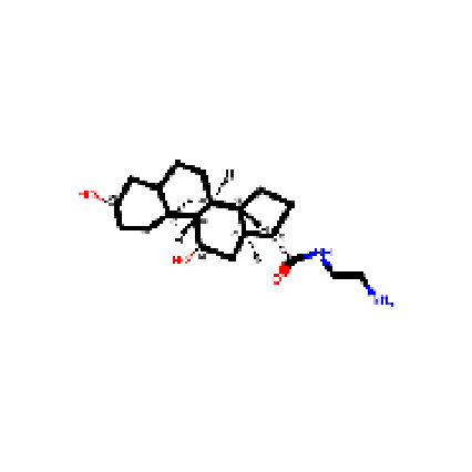 C[C@]12C[C@H](O)[C@H]3[C@@H](CCC4C[C@@H](O)CC[C@@]43C)[C@@H]1CC[C@@H]2C(=O)NCCN